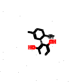 C/C=C(O)\C(=C(/C)O)[C@@H]1C=C(C)CC[C@H]1C(C)C